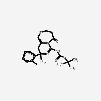 CC(C)(C)OC(=O)NC1=NC(C)(c2ccccc2F)CC2=NSCCC(=O)N21